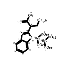 CCCCCCCCNCCCCCCCC.CCCCCCCCNCCCCCCCC.O=C(O)CC(C(O)=S)c1nc2ccccc2s1